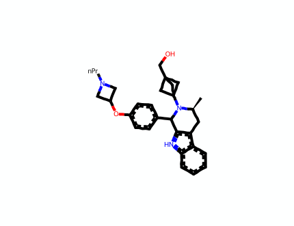 CCCN1CC(Oc2ccc(C3c4[nH]c5ccccc5c4C[C@H](C)N3C34CC(CO)(C3)C4)cc2)C1